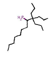 CCCCCCCC(P)C(CCC)(CCC)CCC